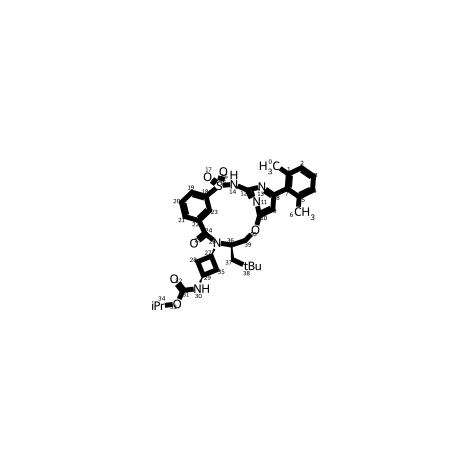 Cc1cccc(C)c1-c1cc2nc(n1)NS(=O)(=O)c1cccc(c1)C(=O)N([C@H]1C[C@@H](NC(=O)OC(C)C)C1)[C@H](CC(C)(C)C)CO2